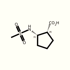 CS(=O)(=O)N[C@H]1CCC[C@H]1C(=O)O